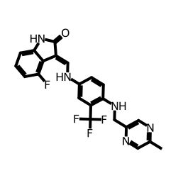 Cc1cnc(CNc2ccc(N/C=C3/C(=O)Nc4cccc(F)c43)cc2C(F)(F)F)cn1